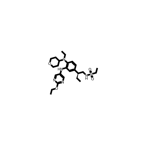 CCOc1ncc(Nc2cc([C@H](CC)CNS(=O)(=O)CC)ccc2N(CC)C2CCOCC2)cn1